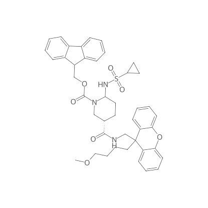 COCCCCC1(CNC(=O)[C@H]2CCC(NS(=O)(=O)C3CC3)N(C(=O)OCC3c4ccccc4-c4ccccc43)C2)c2ccccc2Oc2ccccc21